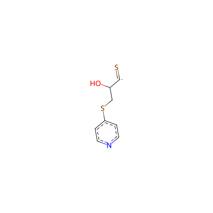 OC([C]=S)CSc1ccncc1